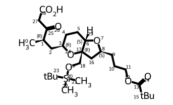 C[C@H](C[C@H]1CC[C@@H]2O[C@@H](CCCOC(=O)C(C)(C)C)C[C@]2(CO[Si](C)(C)C(C)(C)C)O1)C(=O)CC(=O)O